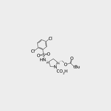 CC(C)(C)C(=O)OC[C@H]1C[C@@H](NS(=O)(=O)c2cc(Cl)ccc2Cl)CN1C(=O)O